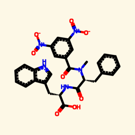 CN(C(=O)c1cc([N+](=O)[O-])cc([N+](=O)[O-])c1)[C@H](Cc1ccccc1)C(=O)N[C@@H](Cc1c[nH]c2ccccc12)C(=O)O